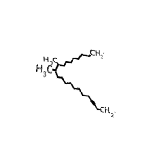 [CH2]CC#CCCCCCCCCC(C)C(C)CCCCCCC[CH2]